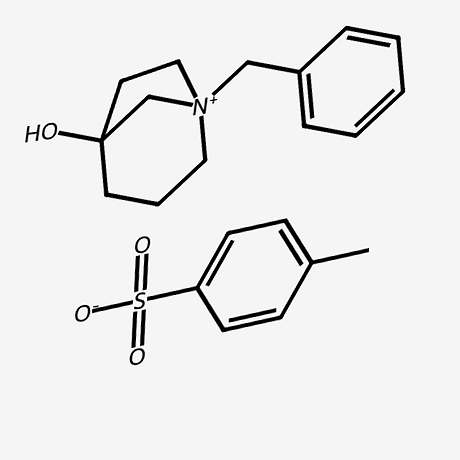 Cc1ccc(S(=O)(=O)[O-])cc1.OC12CCC[N+](Cc3ccccc3)(CC1)C2